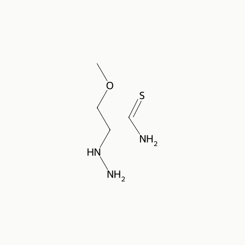 COCCNN.NC=S